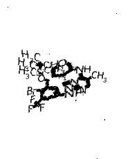 Cc1cnc(Nc2cc(CO[Si](C)(C)C(C)(C)C)c(Br)c(C(F)(F)F)c2)nc1N[C@@H]1COCC[C@H]1C#N